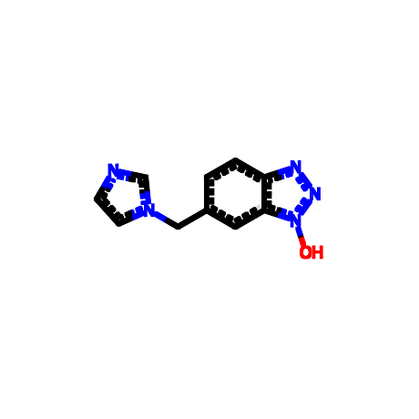 On1nnc2ccc(Cn3ccnc3)cc21